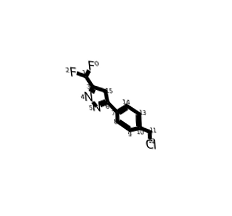 FC(F)C1=NN=C(c2ccc(CCl)cc2)C1